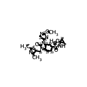 COc1nsc(-n2c(=O)n(Cc3sc(C)nc3C)c3ccc(S(=O)(=O)NC4(C)CC4)cc32)n1